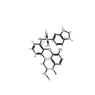 COc1ccc(Cl)c(Oc2c(NS(=O)(=O)c3ccc4c(c3)OCO4)ncnc2OCCSC)c1